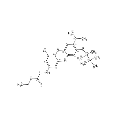 CCOC(=O)CNc1cc(Cl)c(Oc2ccc(O[Si](C)(C)C(C)(C)C)c(C(C)C)c2)c(Cl)c1